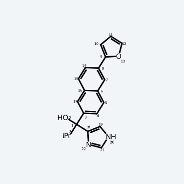 CC(C)C(O)(c1ccc2cc(-c3ccco3)ccc2c1)c1c[nH]cn1